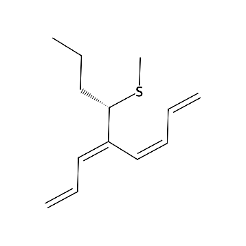 C=C/C=C\C(=C/C=C)[C@H](CCC)SC